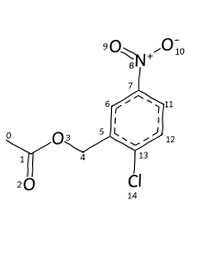 CC(=O)OCc1cc([N+](=O)[O-])ccc1Cl